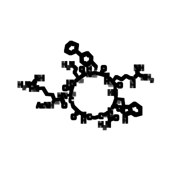 CC(=O)N[C@@H](CCCNC(=N)N)C(=O)N[C@H]1CCC(=O)NCCC[C@@H](C(N)=O)NC(=O)[C@H](Cc2c[nH]c3ccccc23)NC(=O)[C@H](CCCNC(=N)N)NC(=O)[C@@H](Cc2ccc(-c3ccccc3)cc2)NC(=O)[C@H](CCN)NC1=O